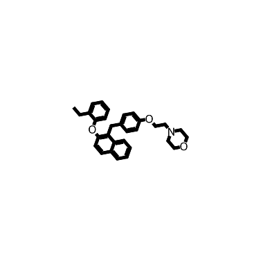 CCc1ccccc1Oc1ccc2ccccc2c1Cc1ccc(OCCN2CCOCC2)cc1